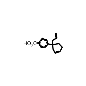 C=CCC1(c2c[c]c(C(=O)O)cc2)CC=CCC1